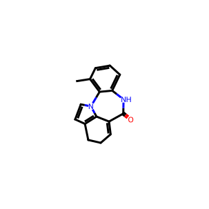 Cc1cccc2c1-n1ccc3c1C(=CCC3)C(=O)N2